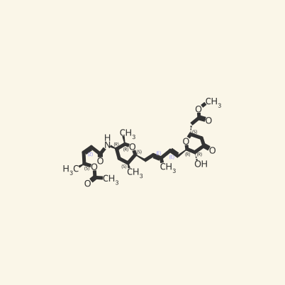 COC(=O)C[C@@H]1CC(=O)[C@H](O)[C@@H](/C=C/C(C)=C/C[C@@H]2O[C@H](C)[C@H](NC(=O)/C=C\[C@H](C)OC(C)=O)C[C@@H]2C)O1